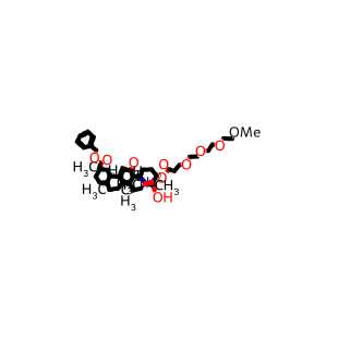 COCCOCCOCCOCCC(=O)O[C@H]1CC[C@]2(C)[C@H]3C(=O)C=C4[C@@H]5C[C@@](C)(C(=O)OCc6ccccc6)CC[C@]5(C)CC[C@@]4(C)[C@]3(C)CC[C@]23N=C(O)[C@]13C